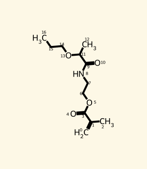 C=C(C)C(=O)OCCNC(=O)C(C)OCCC